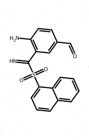 N=C(c1cc(C=O)ccc1N)S(=O)(=O)c1cccc2ccccc12